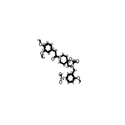 COc1ccc([N+](=O)[O-])cc1CN1CC2(CCN(C(=O)Cc3ccc(OC)c(OC)c3)CC2)OC1=O